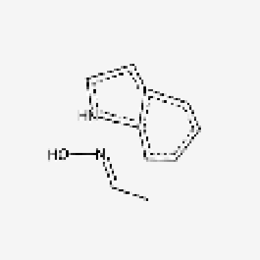 CC=NO.c1ccc2[nH]ccc2c1